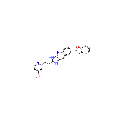 COc1ccnc(CCc2nc3cc4cc(-c5cc6ccccc6o5)ccc4nc3[nH]2)c1